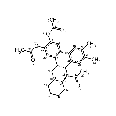 CC(=O)Oc1ccc(CC[C@H]2CCCC[C@@H]2N(Cc2ccc(C)c(C)c2)C(C)=O)cc1OC(C)=O